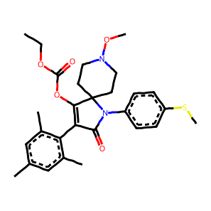 CCOC(=O)OC1=C(c2c(C)cc(C)cc2C)C(=O)N(c2ccc(SC)cc2)C12CCN(OC)CC2